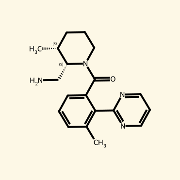 Cc1cccc(C(=O)N2CCC[C@@H](C)[C@H]2CN)c1-c1ncccn1